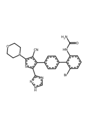 N#Cc1c(N2CCOCC2)sc(-c2nc[nH]n2)c1-c1ccc(-c2c(Br)cccc2NC(N)=O)cc1